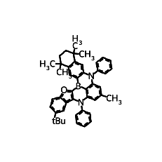 Cc1cc2c3c(c1)N(c1ccccc1)c1c(oc4ccc(C(C)(C)C)cc14)B3c1cc3c(cc1N2c1ccccc1)C(C)(C)CCC3(C)C